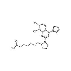 O=C(O)CCCCOC[C@@H]1CCCN1c1cc(-n2ccnc2)c2ccc(Cl)c(Cl)c2n1